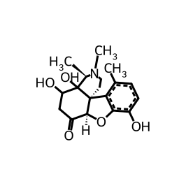 Cc1ccc(O)c2c1[C@]13CCN(C)[C@H](C)C1(O)C(O)CC(=O)[C@@H]3O2